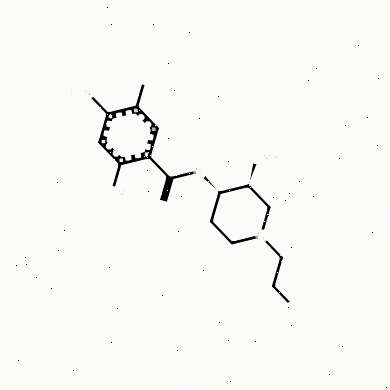 COc1cc(N)c(Cl)cc1C(=O)N[C@@H]1CCN(CCC(=O)O)C[C@@H]1OC